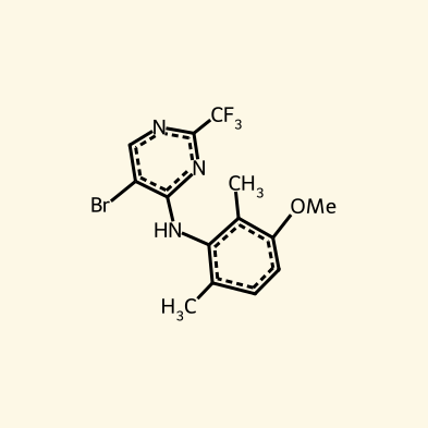 COc1ccc(C)c(Nc2nc(C(F)(F)F)ncc2Br)c1C